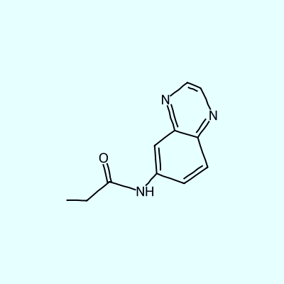 CCC(=O)Nc1ccc2nccnc2c1